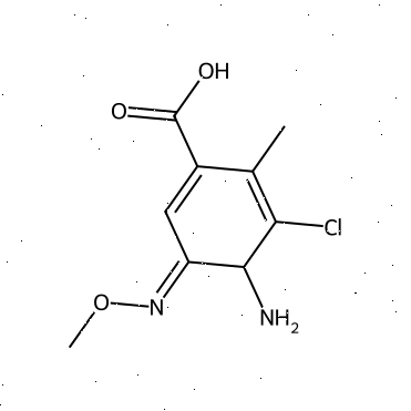 CON=C1C=C(C(=O)O)C(C)=C(Cl)C1N